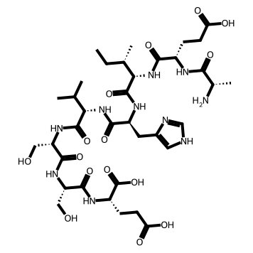 CC[C@H](C)[C@H](NC(=O)[C@H](CCC(=O)O)NC(=O)[C@H](C)N)C(=O)N[C@@H](Cc1c[nH]cn1)C(=O)N[C@H](C(=O)N[C@@H](CO)C(=O)N[C@@H](CO)C(=O)N[C@@H](CCC(=O)O)C(=O)O)C(C)C